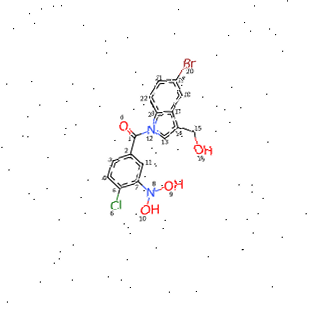 O=C(c1ccc(Cl)c(N(O)O)c1)n1cc(CO)c2cc(Br)ccc21